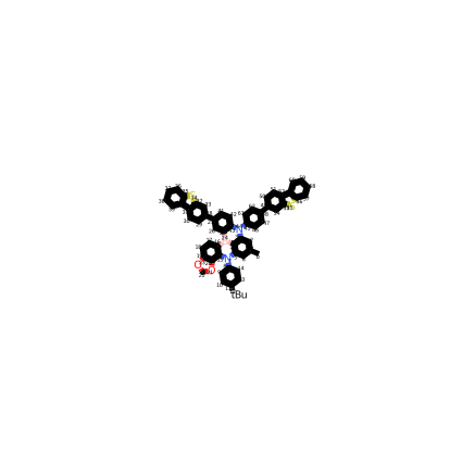 Cc1cc2c3c(c1)N(c1ccc(C(C)(C)C)cc1)c1c(ccc4c1OCO4)B3c1cc(-c3ccc4c(c3)sc3ccccc34)ccc1N2c1ccc(-c2ccc3c(c2)sc2ccccc23)cc1